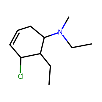 CCC1C(Cl)C=CCC1N(C)CC